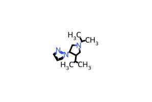 CC(C)C1CN(C(C)C)CC1n1cccn1